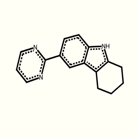 c1cnc(-c2ccc3[nH]c4c(c3c2)CCCC4)nc1